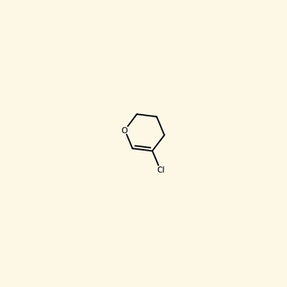 ClC1=COCCC1